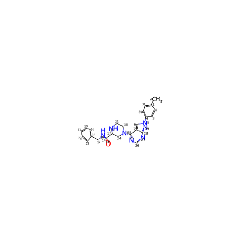 Cc1ccc(-n2cc3c(N4CCNC(C(=O)NCc5ccccc5)C4)ncnc3n2)cc1